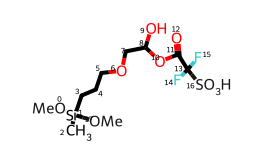 CO[Si](C)(CCCOCC(O)OC(=O)C(F)(F)S(=O)(=O)O)OC